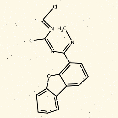 C\N=C(/N=C(Cl)\N=C\Cl)c1cccc2c1oc1ccccc12